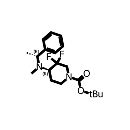 C[C@H](c1ccccc1)N(C)[C@@H]1CCN(C(=O)OC(C)(C)C)CC1(F)F